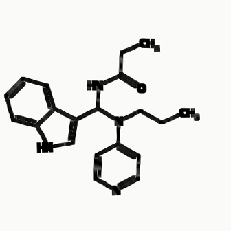 CCCN(c1ccncc1)C(NC(=O)CC)c1c[nH]c2ccccc12